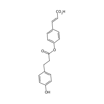 O=C(O)C=Cc1ccc(OC(=O)CCc2ccc(O)cc2)cc1